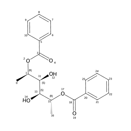 C[C@@H](OC(=O)c1ccccc1)[C@@H](O)[C@H](O)[C@@H](C)OC(=O)c1ccccc1